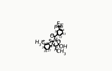 CCC(C(=O)O)n1/c(=N/C(=O)c2cccc(C(F)(F)F)c2)sc2c(C)cccc21